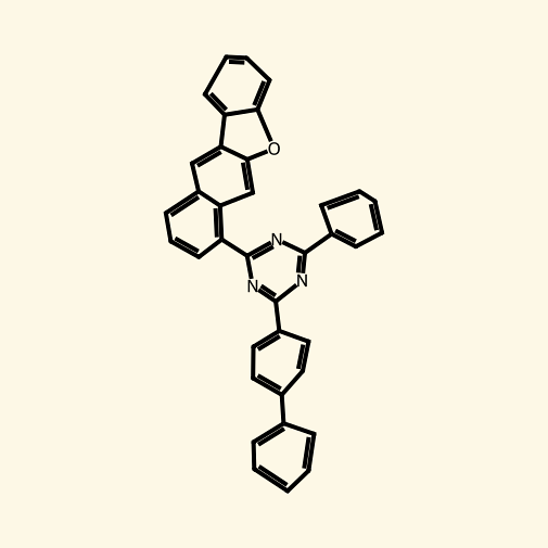 c1ccc(-c2ccc(-c3nc(-c4ccccc4)nc(-c4cccc5cc6c(cc45)oc4ccccc46)n3)cc2)cc1